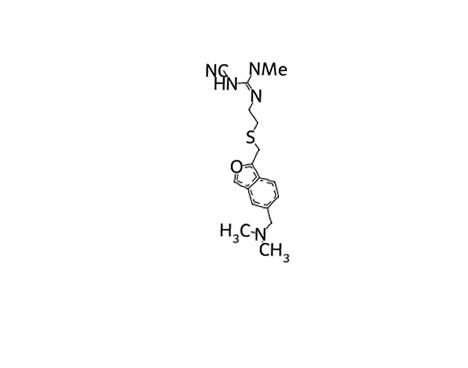 CNC(=NCCSCc1occ2cc(CN(C)C)ccc12)NC#N